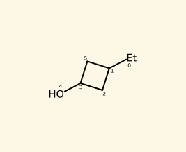 CCC1CC(O)C1